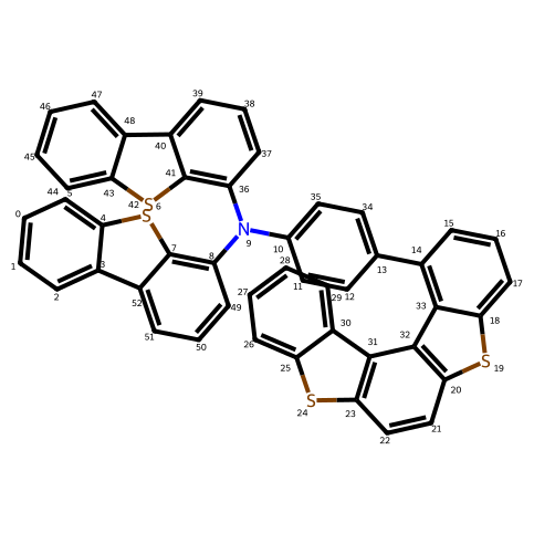 c1ccc2c(c1)sc1c(N(c3ccc(-c4cccc5sc6ccc7sc8ccccc8c7c6c45)cc3)c3cccc4c3sc3ccccc34)cccc12